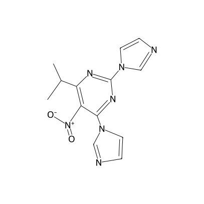 CC(C)c1nc(-n2ccnc2)nc(-n2ccnc2)c1[N+](=O)[O-]